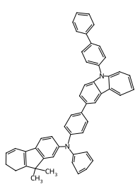 CC1(C)C2=C(C=CCC2)c2ccc(N(c3ccccc3)c3ccc(-c4ccc5c(c4)c4ccccc4n5-c4ccc(-c5ccccc5)cc4)cc3)cc21